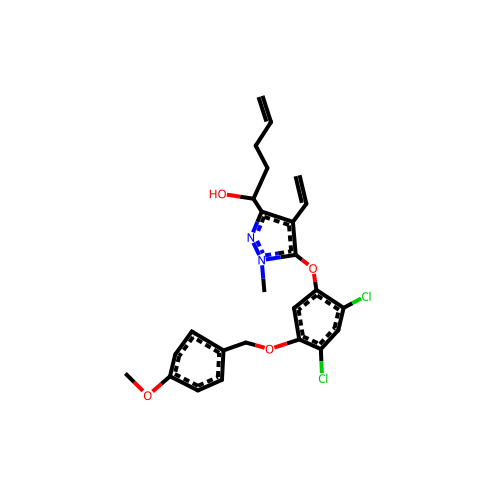 C=CCCC(O)c1nn(C)c(Oc2cc(OCc3ccc(OC)cc3)c(Cl)cc2Cl)c1C=C